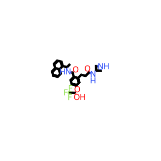 CC(NC(=O)c1ccccc1CCC(=O)NC1CNC1)c1cccc2ccccc12.O=C(O)C(F)(F)F